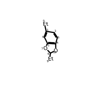 CCc1ccc2c(c1)OC(CC)O2